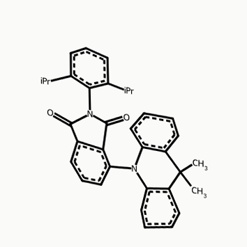 CC(C)c1cccc(C(C)C)c1N1C(=O)c2cccc(N3c4ccccc4C(C)(C)c4ccccc43)c2C1=O